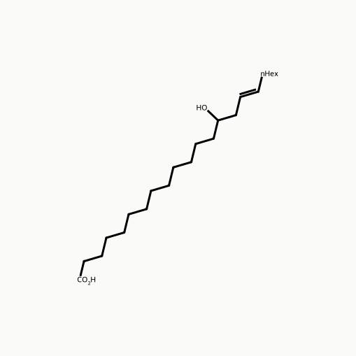 CCCCCCC=CCC(O)CCCCCCCCCCCCC(=O)O